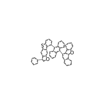 c1ccc(-c2coc3cc4c(cc23)sc2cccc(-c3c5ccccc5c(-c5cc6ccccc6c6oc7ccccc7c56)c5ccccc35)c24)cc1